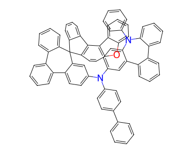 c1ccc(-c2ccc(N(c3ccc4c(c3)-c3ccccc3-c3ccccc3N4c3ccccc3)c3ccc4c(c3)C3(c5ccccc5-c5ccccc5-4)c4ccccc4-c4c3ccc3oc5ccccc5c43)cc2)cc1